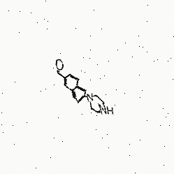 O=Cc1ccc2cc(N3CCNCC3)ccc2c1